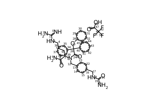 N=C(N)NCCC[C@H](C(N)=O)N(Cc1ccc(CNC(N)=O)cc1)C(=O)C(Oc1ccccc1)(c1ccccc1)c1ccccc1.O=C(O)C(F)(F)F